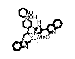 COc1nc2ccccc2cc1-c1cnc([C@@H]2CN(S3(=O)(O)CCCCC3)CCN2C(=O)Cn2c(C(F)(F)F)nc3ccccc32)[nH]1